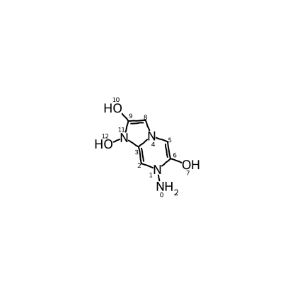 NN1C=C2N(C=C1O)C=C(O)N2O